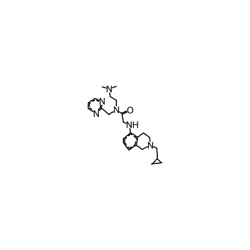 CN(C)CCN(Cc1ncccn1)C(=O)CNc1cccc2c1CCN(CC1CC1)C2